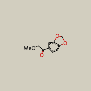 COCC(=O)c1ccc2c(c1)OCO2